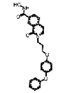 O=C(NO)c1ccc2ccn(CCCOc3ccc(Oc4ccccc4)cc3)c(=O)c2c1